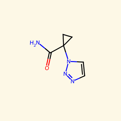 NC(=O)C1(n2ccnn2)CC1